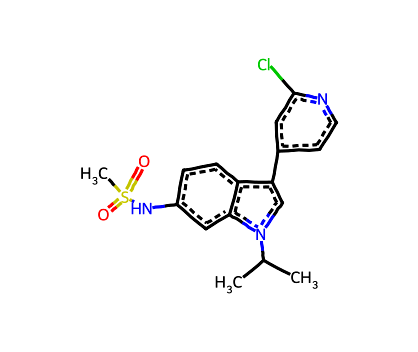 CC(C)n1cc(-c2ccnc(Cl)c2)c2ccc(NS(C)(=O)=O)cc21